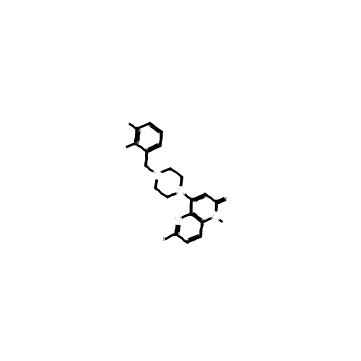 Cn1c(=O)cc(N2CCN(Cc3cccc(F)c3F)CC2)c2nc(Cl)ccc21